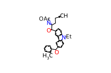 C#CCC/C(=N\OC(C)=O)C(=O)c1ccc2c(c1)c1cc(C(=O)c3ccccc3C)ccc1n2CC